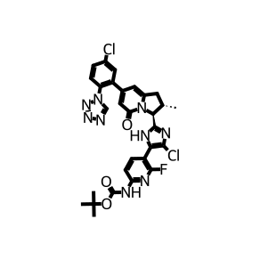 C[C@H]1Cc2cc(-c3cc(Cl)ccc3-n3cnnn3)cc(=O)n2[C@@H]1c1nc(Cl)c(-c2ccc(NC(=O)OC(C)(C)C)nc2F)[nH]1